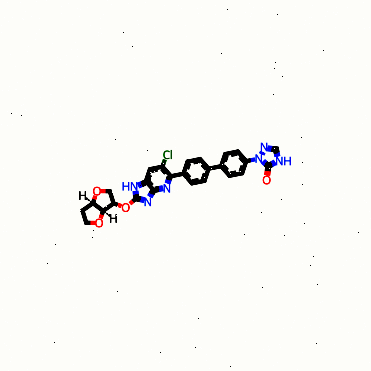 O=c1[nH]cnn1-c1ccc(-c2ccc(-c3nc4nc(OC5CO[C@@H]6CCO[C@H]56)[nH]c4cc3Cl)cc2)cc1